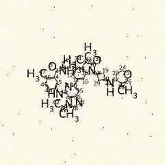 CNC(=O)c1cc(Nc2nc(-c3ccc4c(c3)N([C@H]3C[C@@H](N[C@@H]5CCOC[C@H]5C)C3)C(=O)C4(C)C)cc3ncn(C(C)C)c23)ccc1C